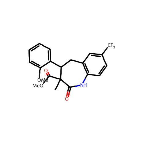 COC(=O)C1(C)C(=O)Nc2ccc(C(F)(F)F)cc2CC1c1ccccc1OC